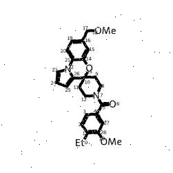 CCc1ccc(C(=O)N2CCC3(CC2)Oc2cc(COC)ccc2-n2cccc23)cc1OC